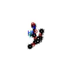 C[C@]12C[C@H](Oc3ccc(NC(=O)CCN4CCOCC4)c(C(F)(F)F)c3)[C@@H]3c4ccc(OCc5ccccc5)cc4CC[C@H]3[C@@H]1CC[C@@H]2OCc1ccccc1